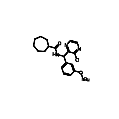 CCCCOc1cccc(C(NC(=O)C2CCCCCC2)c2nccnc2Cl)c1